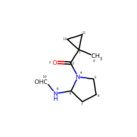 CC1(C(=O)N2CCCC2NC=O)CC1